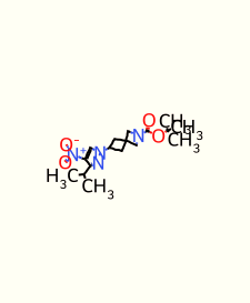 CC(C)c1nn(C2CC3(C2)CN(C(=O)OC(C)(C)C)C3)cc1[N+](=O)[O-]